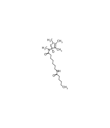 CCCCCC(=O)NCCCCCCC(=O)N(C)P(=O)(NC)SC(C)CC